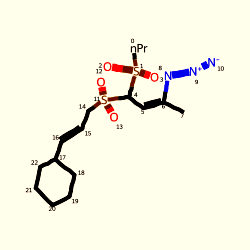 CCCS(=O)(=O)C(C=C(C)N=[N+]=[N-])S(=O)(=O)CC=CC1CCCCC1